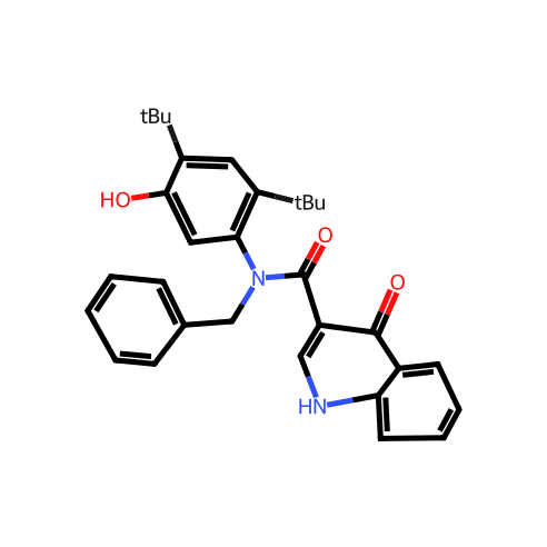 CC(C)(C)c1cc(C(C)(C)C)c(N(Cc2ccccc2)C(=O)c2c[nH]c3ccccc3c2=O)cc1O